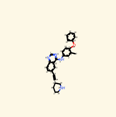 Cc1cc(Nc2ncnc3ccc(C#C[C@H]4CCCNC4)cc23)ccc1Oc1ccccc1